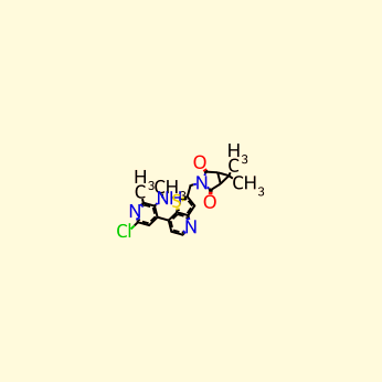 CNc1c(-c2ccnc3cc(CN4C(=O)C5C(C4=O)C5(C)C)sc23)cc(Cl)nc1C